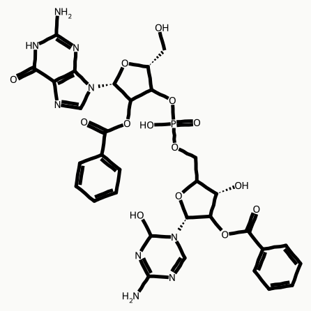 NC1=NC(O)N([C@@H]2OC(COP(=O)(O)OC3C(OC(=O)c4ccccc4)[C@H](n4cnc5c(=O)[nH]c(N)nc54)O[C@@H]3CO)[C@H](O)C2OC(=O)c2ccccc2)C=N1